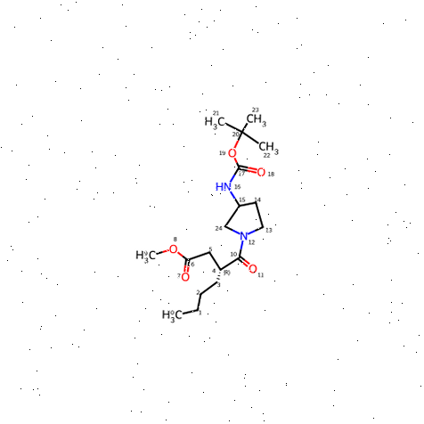 CCCC[C@H](CC(=O)OC)C(=O)N1CCC(NC(=O)OC(C)(C)C)C1